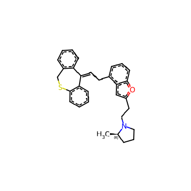 C[C@@H]1CCCN1CCc1cc2c(CC=C3c4ccccc4CSc4ccccc43)cccc2o1